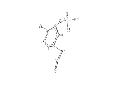 O=C=Nc1ccc(Cl)c(OC(F)(F)Cl)c1